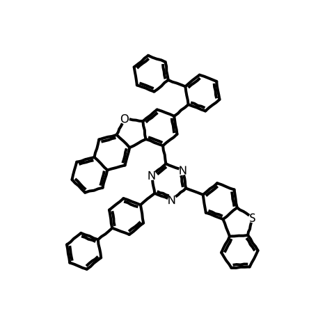 c1ccc(-c2ccc(-c3nc(-c4ccc5sc6ccccc6c5c4)nc(-c4cc(-c5ccccc5-c5ccccc5)cc5oc6cc7ccccc7cc6c45)n3)cc2)cc1